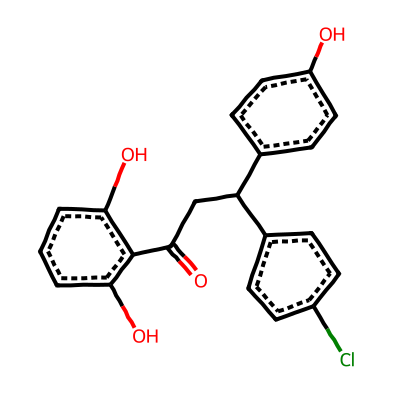 O=C(CC(c1ccc(O)cc1)c1ccc(Cl)cc1)c1c(O)cccc1O